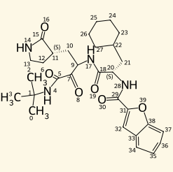 CC(C)(C)NC(=O)C(=O)C(C[C@@H]1CCNC1=O)NC(=O)[C@H](CC1CCCCC1)NC(=O)c1cc2ccccc2o1